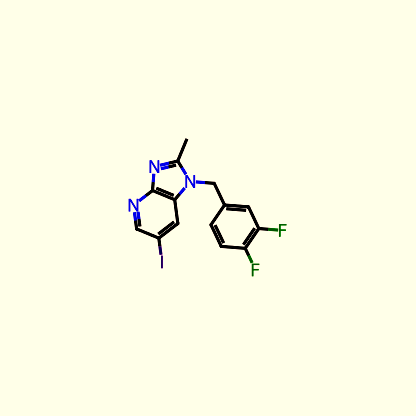 Cc1nc2ncc(I)cc2n1Cc1ccc(F)c(F)c1